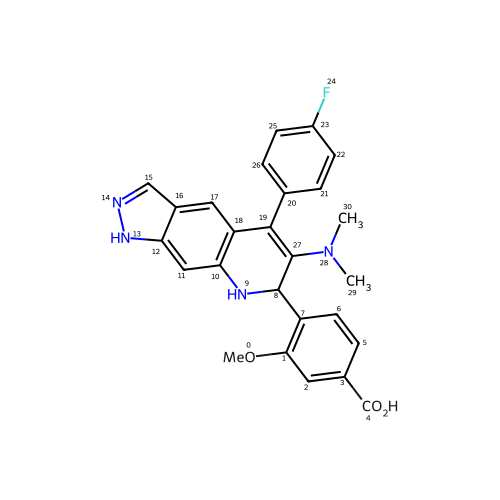 COc1cc(C(=O)O)ccc1C1Nc2cc3[nH]ncc3cc2C(c2ccc(F)cc2)=C1N(C)C